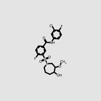 COC1CN(S(=O)(=O)c2cc(C(=O)Nc3ccc(F)c(Cl)c3)ccc2F)CCCC1O